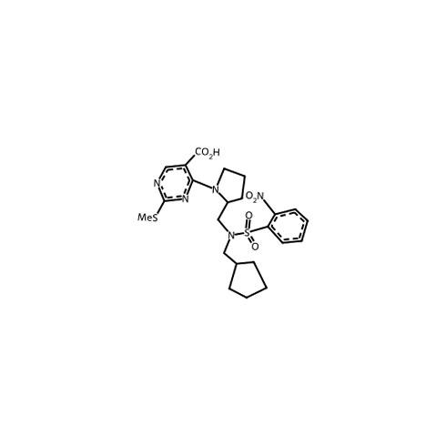 CSc1ncc(C(=O)O)c(N2CCCC2CN(CC2CCCC2)S(=O)(=O)c2ccccc2[N+](=O)[O-])n1